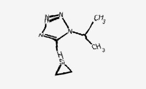 CC(C)n1nnnc1[SiH]1CC1